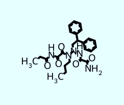 CCCCN(C(=O)C(=O)NC(=O)CC)N(CC(c1ccccc1)c1ccccc1)NC(=O)C(N)=O